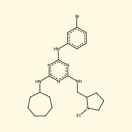 CCN1CCCC1CNc1nc(Nc2cccc(Br)c2)nc(NC2CCCCCC2)n1